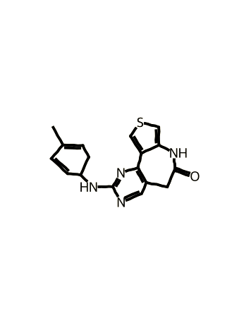 CC1=CCC(Nc2ncc3c(n2)-c2cscc2NC(=O)C3)C=C1